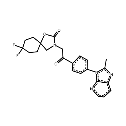 Cc1nc2cccnc2n1-c1ccc(C(=O)CN2CC3(CCC(F)(F)CC3)OC2=O)cc1